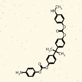 CNc1ccc(OC(=O)Oc2ccc(C(C)(C)c3ccc(OC(=O)Oc4ccc(N)cc4)cc3)cc2)cc1